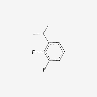 C[C](C)c1cccc(F)c1F